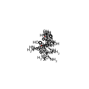 CC[C@H](C)[C@H](NC(=O)[C@H](CCCCN)NC(=O)[C@@H](N)C(C)C)C(=O)N1CCC[C@H]1C(=O)N[C@@H](CCCNC(=N)N)C(=O)N[C@@H](Cc1ccc(O)cc1)C(=O)N[C@@H](CCCNC(=N)N)C(=O)N[C@@H](CC(=O)O)C(=O)N[C@@H](Cc1ccc(O)cc1)C(=O)N[C@H](C(=O)N1CCC[C@H]1C(=O)N[C@@H](CO)C(=O)O)[C@@H](C)O